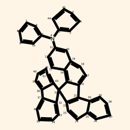 c1ccc(N(c2ccccc2)c2ccc3c4c(ccc3c2)-c2c(ccc3ccccc23)C42c3ccccc3-c3ccccc32)cc1